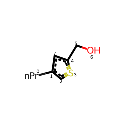 CCCc1csc(CO)c1